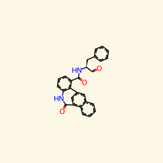 O=C[C@H](Cc1ccccc1)NC(=O)c1cccc2c1-c1cc(c3ccccc3c1)C(=O)N2